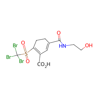 O=C(O)C1=C(S(=O)(=O)C(Br)(Br)Br)CCC(C(=O)NCCO)=C1